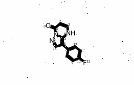 O=c1cc[nH]c2c(-c3ccc(F)cc3)cnn12